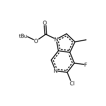 Cc1cn(C(=O)OC(C)(C)C)c2cnc(Cl)c(F)c12